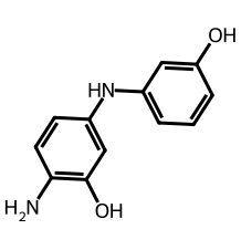 Nc1ccc(Nc2cccc(O)c2)cc1O